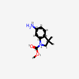 COC(=O)N1CC(C)(C)c2ccc(N)cc21